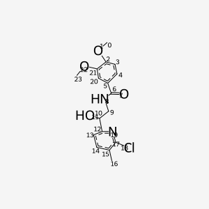 COc1ccc(C(=O)NCC(O)c2ccc(C)c(Cl)n2)cc1OC